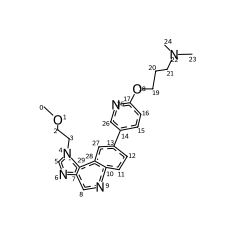 COCCn1cnc2cnc3ccc(-c4ccc(OCCCN(C)C)nc4)cc3c21